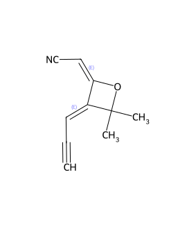 C#C/C=C1/C(=C\C#N)OC1(C)C